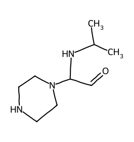 CC(C)NC(C=O)N1CCNCC1